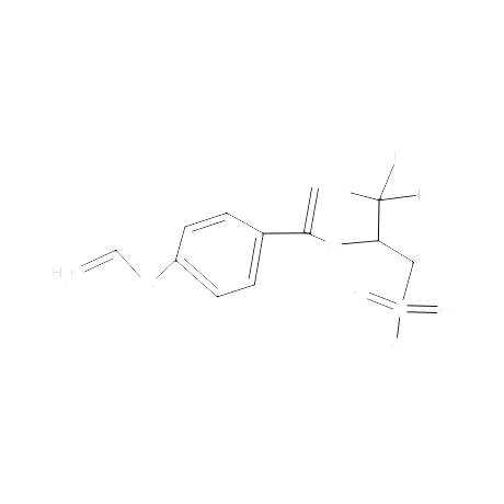 C=COc1ccc(C(=O)OC(CS(=O)(=O)O)C(F)(F)F)cc1